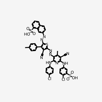 Cc1ccc(-c2c(N=Nc3ccc4cccc(S(=O)(=O)O)c4c3)sc(N=Nc3c(Nc4ccc(Cl)cc4)nc(Nc4ccc(Cl)c(S(=O)(=O)O)c4)c(C#N)c3C)c2C#N)cc1